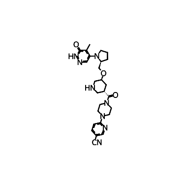 Cc1c(N2CCC[C@H]2CO[C@@H]2CNC[C@@H](C(=O)N3CCN(c4ccc(C#N)cn4)CC3)C2)cn[nH]c1=O